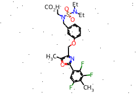 CCN(CC)S(=O)(=O)N(CC(=O)O)Cc1cccc(OCc2nc(-c3cc(F)c(C)c(F)c3F)oc2C)c1